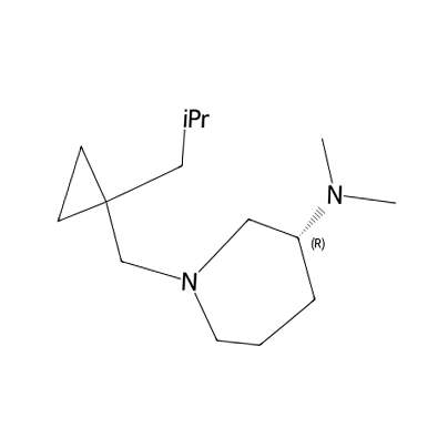 CC(C)CC1(CN2CCC[C@@H](N(C)C)C2)CC1